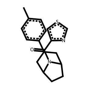 Cc1ccc(C2CC3CCC(C2)N3C(=O)c2cscn2)cc1